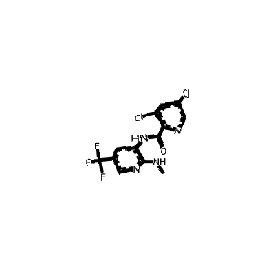 CNc1ncc(C(F)(F)F)cc1NC(=O)c1ncc(Cl)cc1Cl